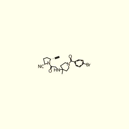 C#C[C@H]1CC[C@@H](C#N)N1C(=O)CNC1(C)CCN(C(=O)c2ccc(Br)cc2)CC1